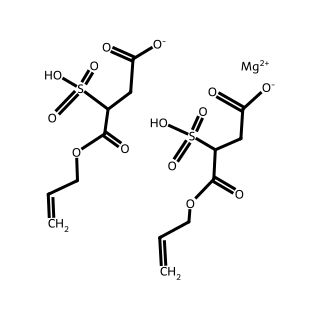 C=CCOC(=O)C(CC(=O)[O-])S(=O)(=O)O.C=CCOC(=O)C(CC(=O)[O-])S(=O)(=O)O.[Mg+2]